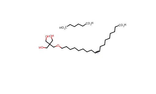 O=C(O)CCCCC(=O)O.O=C(O)CCCCCCC/C=C\CCCCCCCCOCC(CO)(CO)CO